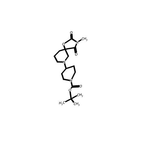 CN1C(=O)OC2(CCCN(C3CCN(C(=O)OC(C)(C)C)CC3)C2)C1=O